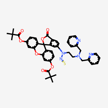 CC(C)(C)C(=O)Oc1ccc2c(c1)Oc1cc(OC(=O)C(C)(C)C)ccc1C21OC(=O)c2ccc(N(CCN(Cc3ccccn3)Cc3ccccn3)N=S)cc21